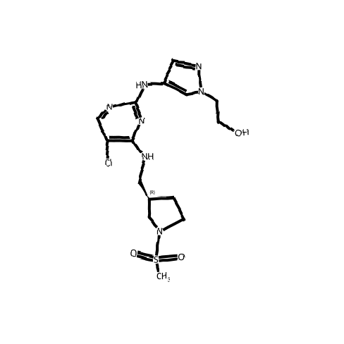 CS(=O)(=O)N1CC[C@H](CNc2nc(Nc3cnn(CCO)c3)ncc2Cl)C1